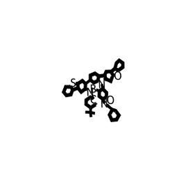 CC(C)(C)c1ccc(N2B3c4cc5nc(-c6ccccc6)oc5cc4-n4c5cc6oc7ccccc7c6cc5c5ccc(c3c54)-c3cc4sc5ccccc5c4cc32)cc1